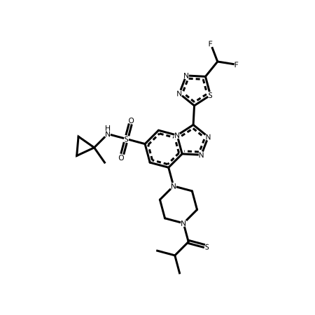 CC(C)C(=S)N1CCN(c2cc(S(=O)(=O)NC3(C)CC3)cn3c(-c4nnc(C(F)F)s4)nnc23)CC1